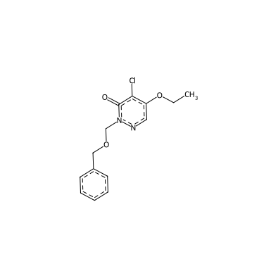 CCOc1cnn(COCc2ccccc2)c(=O)c1Cl